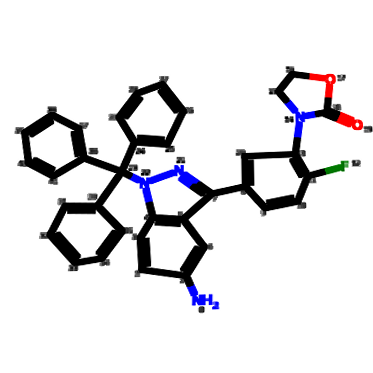 Nc1ccc2c(c1)c(-c1ccc(F)c(N3CCOC3=O)c1)nn2C(c1ccccc1)(c1ccccc1)c1ccccc1